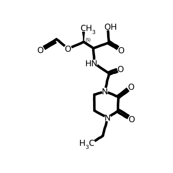 CCN1CCN(C(=O)NC(C(=O)O)[C@H](C)OC=O)C(=O)C1=O